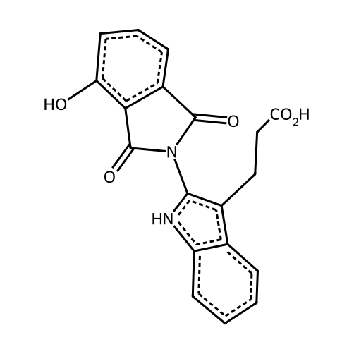 O=C(O)CCc1c(N2C(=O)c3cccc(O)c3C2=O)[nH]c2ccccc12